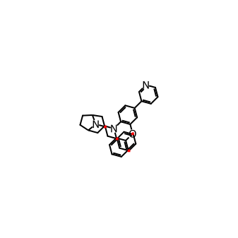 c1ccc(CCN2C3CCC2CC(N2c4ccccc4Oc4cc(-c5cccnc5)ccc42)C3)cc1